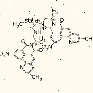 CS(=O)(=O)O.Cc1cnc2c(c1)cc1c3c(cc([N+](=O)[O-])cc32)C(=O)N([C@H](C)CNC[C@@H](C)NC[C@@H](C)N2C(=O)c3cc([N+](=O)[O-])cc4c3c(cc3cc(C)cnc34)C2=O)C1=O